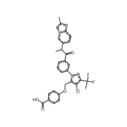 Cc1cn2cc(N(C)C(=O)c3cccc(-n4nc(C(F)(F)F)c(Cl)c4COc4ccc(C(=O)O)cc4)c3)ccc2n1